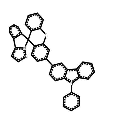 c1ccc(-n2c3ccccc3c3cc(-c4ccc5c(c4)Sc4ccccc4C54c5ccccc5-c5ccnn54)ccc32)cc1